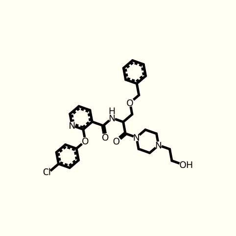 O=C(NC(COCc1ccccc1)C(=O)N1CCN(CCO)CC1)c1cccnc1Oc1ccc(Cl)cc1